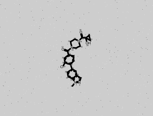 Cn1ncc2cc(-c3ccc(C(=O)N4CCN(C(=O)C5(O)CC5)CC4)cc3Cl)ccc21